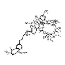 CC[C@H]1OC(=O)[C@H](C)[C@@H](O[C@H]2C[C@@](C)(OC)[C@@H](OCCNCCCc3ccc4c(c3)c(=O)c(C(=O)O)cn4NC)[C@H](C)O2)[C@H](C)[C@@H](O[C@@H]2O[C@H](C)C[C@H](N(C)C)[C@H]2O)[C@](C)(OC)C[C@@H](C)C(=O)[C@@H](C)[C@@H](O)[C@]1(C)O